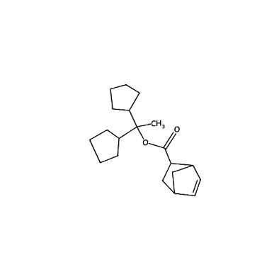 CC(OC(=O)C1CC2C=CC1C2)(C1CCCC1)C1CCCC1